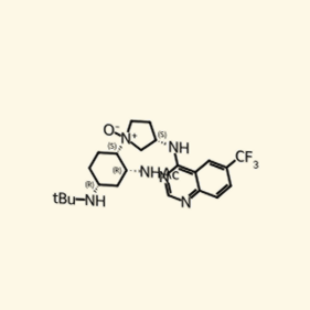 CC(=O)N[C@@H]1C[C@H](NC(C)(C)C)CC[C@@H]1[N+]1([O-])CC[C@H](Nc2ncnc3ccc(C(F)(F)F)cc23)C1